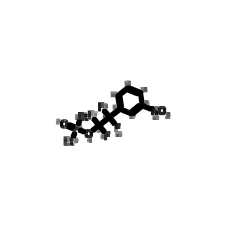 CCP(=O)(CC)OC(F)(F)C(F)(F)c1cccc([N+](=O)[O-])c1